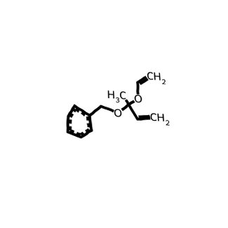 C=COC(C)(C=C)OCc1ccccc1